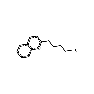 CCCCCc1ccc2ccccc2[s+]1